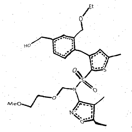 CCOCc1cc(CO)ccc1-c1cc(C)sc1S(=O)(=O)N(COCCOC)c1noc(C)c1C